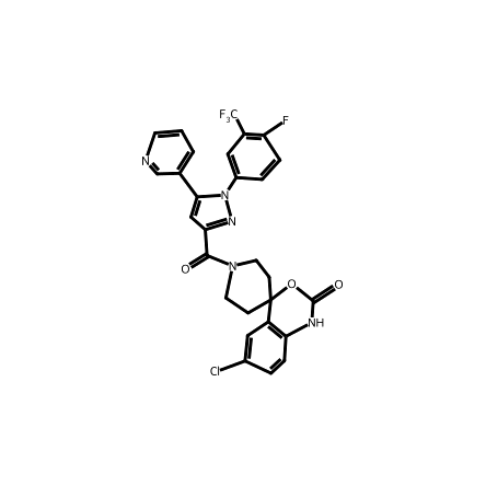 O=C1Nc2ccc(Cl)cc2C2(CCN(C(=O)c3cc(-c4cccnc4)n(-c4ccc(F)c(C(F)(F)F)c4)n3)CC2)O1